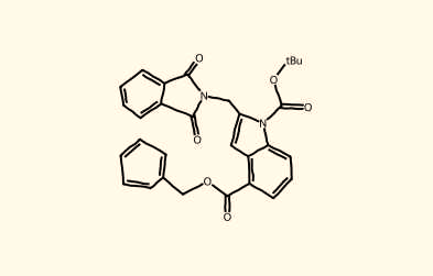 CC(C)(C)OC(=O)n1c(CN2C(=O)c3ccccc3C2=O)cc2c(C(=O)OCc3ccccc3)cccc21